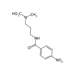 CN(CCCNC(=O)c1ccc([N+](=O)[O-])cc1)C(=O)O